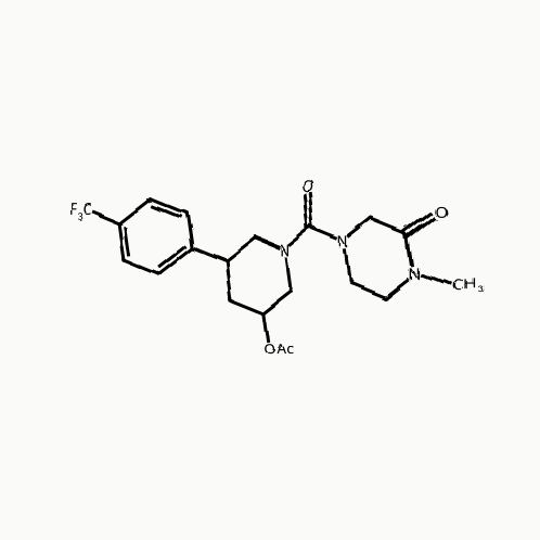 CC(=O)OC1CC(c2ccc(C(F)(F)F)cc2)CN(C(=O)N2CCN(C)C(=O)C2)C1